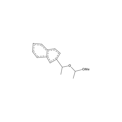 COC(C)OC(C)c1ccc2ccccc2c1